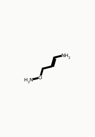 NC=CCON